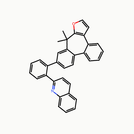 CC1(C)c2cc(-c3ccccc3-c3ccc4ccccc4n3)ccc2-c2ccccc2-c2ccoc21